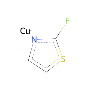 Fc1nccs1.[Cu]